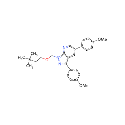 COc1ccc(-c2cnc3c(c2)c(-c2ccc(OC)cc2)nn3COCC[Si](C)(C)C)cc1